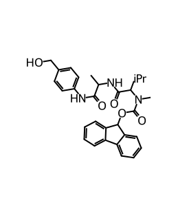 CC(NC(=O)C(C(C)C)N(C)C(=O)OC1c2ccccc2-c2ccccc21)C(=O)Nc1ccc(CO)cc1